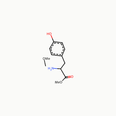 COC.COC(=O)C(N)Cc1ccc(O)cc1